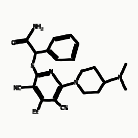 CCc1c(C#N)c(SC(C(N)=O)c2ccccc2)nc(N2CCC(N(C)C)CC2)c1C#N